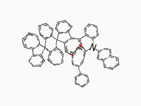 c1ccc(-c2cccc(N(c3ccc4ccccc4c3)c3ccccc3-c3cccc4c3-c3ccccc3C43c4ccccc4C4(c5ccccc5-c5ccccc54)c4ccccc43)c2)cc1